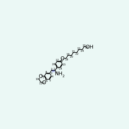 N/C(=C\c1ccc2c(c1)OCCO2)c1ccc(OCCCCCCCCO)cc1